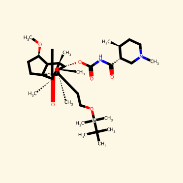 CO[C@@H]1CCC23CC[C@@H](C)[C@](C)(C12)[C@H](OC(=O)NC(=O)[C@H]1CN(C)CC[C@@H]1C)C[C@@](C)(CCO[Si](C)(C)C(C)(C)C)C(=O)[C@@H]3C